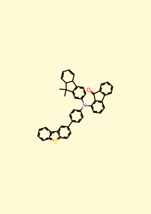 CC1(C)c2cc(N(c3ccc(-c4ccc5sc6ccccc6c5c4)cc3)c3cccc4c3C(=O)c3ccccc3-4)ccc2C2C=CC=CC21